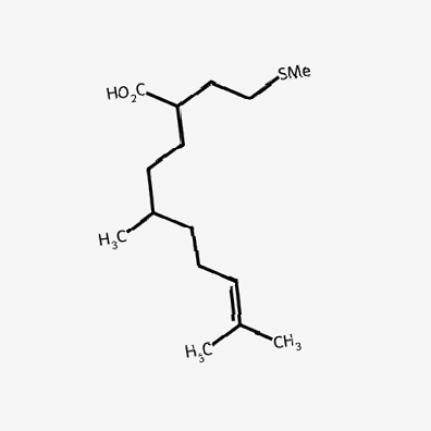 CSCCC(CCC(C)CCC=C(C)C)C(=O)O